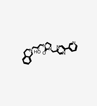 O=C1N(Cc2cnc(-c3cccnc3)cn2)CCN1C[C@H](O)CN1CCc2ccccc2C1